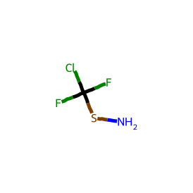 NSC(F)(F)Cl